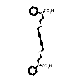 O=C(O)N(CCOCC#CC#CCOCCN(C(=O)O)c1ccccc1)c1ccccc1